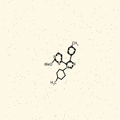 COc1nccc(-c2c(-c3ccc(C)cc3)ncn2C2CCC(C)CC2)n1